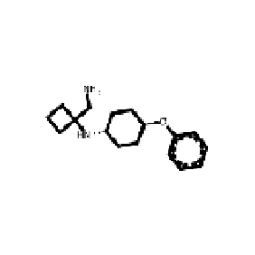 NCC1(N[C@H]2CC[C@H](Oc3ccccc3)CC2)CCC1